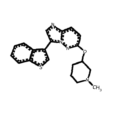 CN1CCCC(Oc2ccc3ncc(-c4csc5ccccc45)n3n2)C1